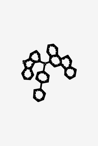 c1ccc(-c2ccc(N(c3cc4c5ccccc5ccc4c4ccccc34)c3cccc4sc5ccccc5c34)cc2)cc1